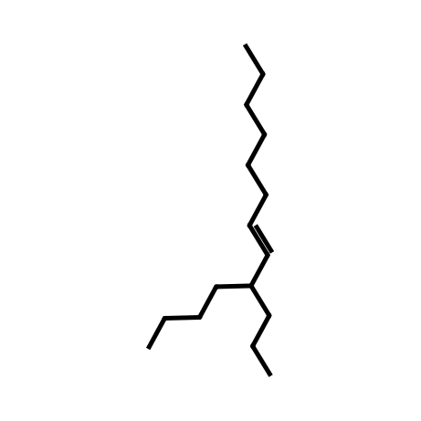 CCCCCCC=CC(CCC)CCCC